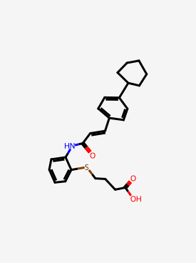 O=C(O)CCCSc1ccccc1NC(=O)/C=C/c1ccc(C2CCCCC2)cc1